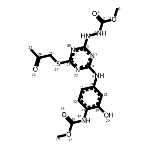 COC(=O)NNc1nc(Nc2ccc(NC(=O)OC)c(O)c2)nc(SCC(C)=O)n1